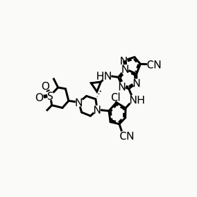 CC1CC(N2CCN(c3cc(C#N)cc(Nc4nc(NC5CC5)n5ncc(C#N)c5n4)c3Cl)[C@@H](C)C2)CC(C)S1(=O)=O